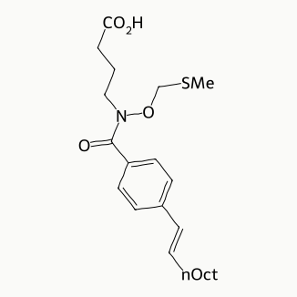 CCCCCCCC/C=C/c1ccc(C(=O)N(CCCC(=O)O)OCSC)cc1